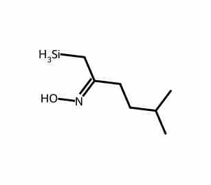 CC(C)CCC(C[SiH3])=NO